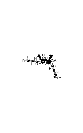 COc1c(OCC(=O)NCCNCCNC(C)C)cc2oc3cc(OCC(=O)NCCNCCNC(C)C)c(CC=C(C)C)c(O)c3c(=O)c2c1CC=C(C)C